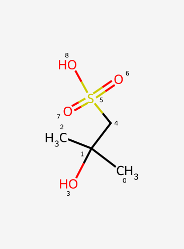 CC(C)(O)CS(=O)(=O)O